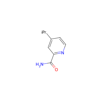 CC(C)c1ccnc(C(N)=O)c1